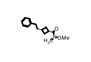 CON(C)C(=O)[C@H]1C[C@@H](CCc2ccccc2)C1